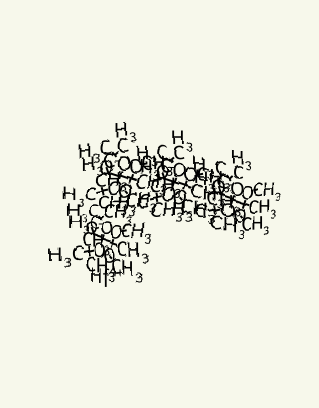 COC(C)(OC)C(C[O-])(OC(C)(C)C)OC(C)(C)C.COC(C)(OC)C(C[O-])(OC(C)(C)C)OC(C)(C)C.COC(C)(OC)C(C[O-])(OC(C)(C)C)OC(C)(C)C.COC(C)(OC)C(C[O-])(OC(C)(C)C)OC(C)(C)C.[Hf+4]